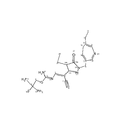 C#C/C(=C\N=C(/N)OCC(F)(P)P)C1=NN(CC2=CCC(CC)=CN=C2)C(=O)C1CC